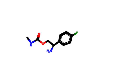 CNC(=O)OC[C@H](N)c1ccc(F)cc1